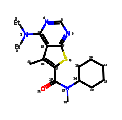 CCN(CC)c1ncnc2sc(C(=O)N(C)C3CCCCC3)c(C)c12